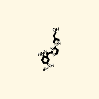 CC(C)Nc1ccc2[nH]nc(-c3nccc(-n4cc(CCO)cn4)n3)c2c1